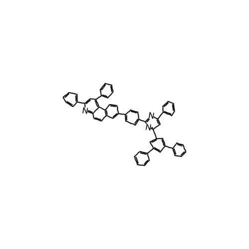 c1ccc(-c2cc(-c3ccccc3)cc(-c3cc(-c4ccccc4)nc(-c4ccc(-c5ccc6c(ccc7nc(-c8ccccc8)cc(-c8ccccc8)c76)c5)cc4)n3)c2)cc1